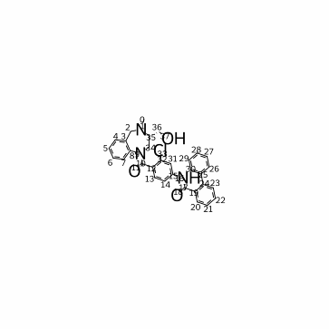 CN1Cc2ccccc2N(C(=O)c2ccc(NC(=O)c3ccccc3-c3ccccc3)cc2Cl)C[C@H]1CO